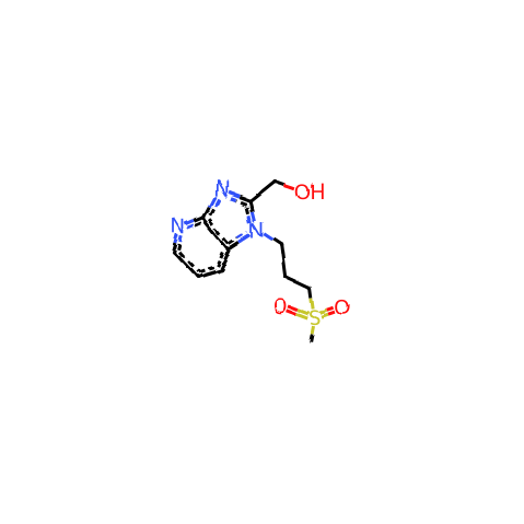 CS(=O)(=O)CCCn1c(CO)nc2ncccc21